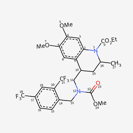 CCOC(=O)N1c2cc(OC)c(OC)cc2C(CN(Cc2ccc(C(F)(F)F)cc2C(F)(F)F)C(=O)OC)CC1C